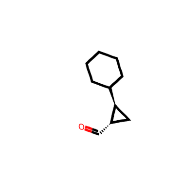 O=C[C@H]1C[C@@H]1C1CCCCC1